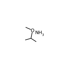 COC(C)C.N